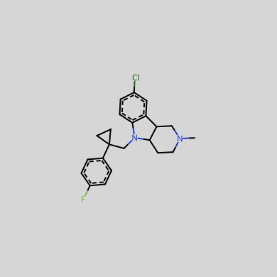 CN1CCC2C(C1)c1cc(Cl)ccc1N2CC1(c2ccc(F)cc2)CC1